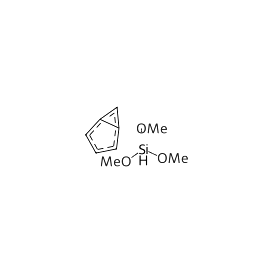 CO[SiH](OC)OC.c1cc2cc-2c1